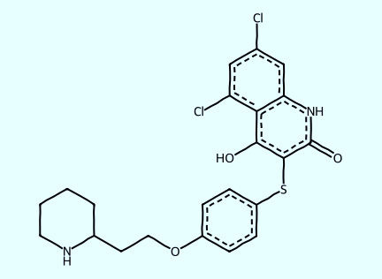 O=c1[nH]c2cc(Cl)cc(Cl)c2c(O)c1Sc1ccc(OCCC2CCCCN2)cc1